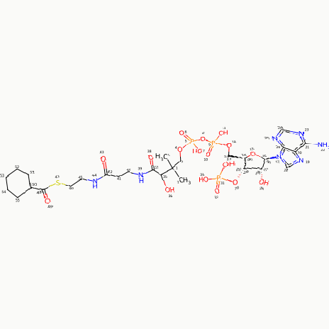 CC(C)(COP(=O)(O)OP(=O)(O)OC[C@H]1O[C@@H](n2cnc3c(N)ncnc32)[C@H](O)[C@@H]1OP(=O)(O)O)C(O)C(=O)NCCC(=O)NCCSC(=O)C1CCCCC1